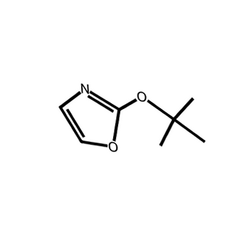 CC(C)(C)Oc1ncco1